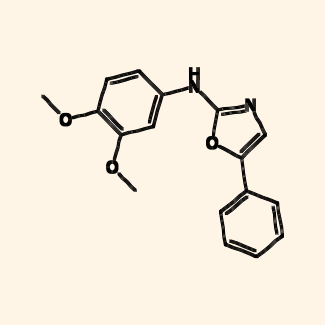 COc1ccc(Nc2ncc(-c3ccccc3)o2)cc1OC